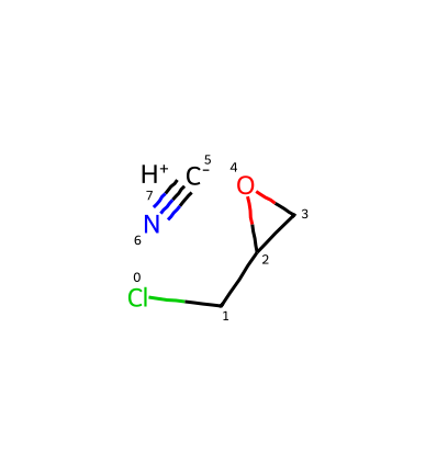 ClCC1CO1.[C-]#N.[H+]